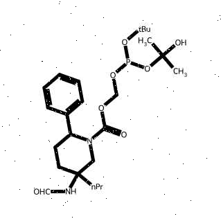 CCCC1(NC=O)CCC(c2ccccc2)N(C(=O)OCOP(OC(C)(C)C)OC(C)(C)O)C1